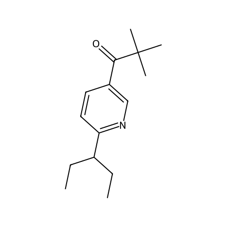 CCC(CC)c1ccc(C(=O)C(C)(C)C)cn1